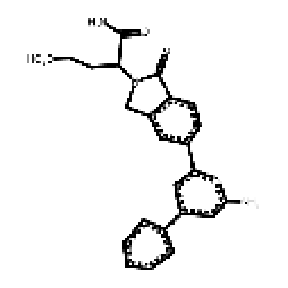 NC(=O)C(CCC(=O)O)N1Cc2cc(-c3cc(-c4ccccc4)cc(N)n3)ccc2C1=O